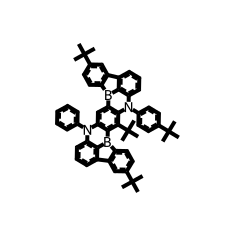 CC(C)(C)c1ccc(N2c3cccc4c3B(c3ccc(C(C)(C)C)cc3-4)c3cc4c(c(C(C)(C)C)c32)B2c3ccc(C(C)(C)C)cc3-c3cccc(c32)N4c2ccccc2)cc1